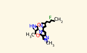 C=CC(F)CCC1C=NC(c2cc3nn(C)cc3c(O[C@H](C)[C@H]3CNC(=O)C3)n2)=C1